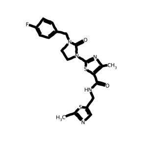 Cc1ncc(CNC(=O)c2sc(N3CCN(Cc4ccc(F)cc4)C3=O)nc2C)s1